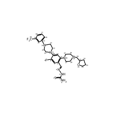 NC(=S)N/N=C/c1cc(F)c(N2CCN(c3cccc(C(F)(F)F)c3)CC2)cc1N1CCN(CC2CCCO2)CC1